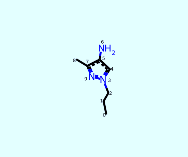 CCCn1cc(N)c(C)n1